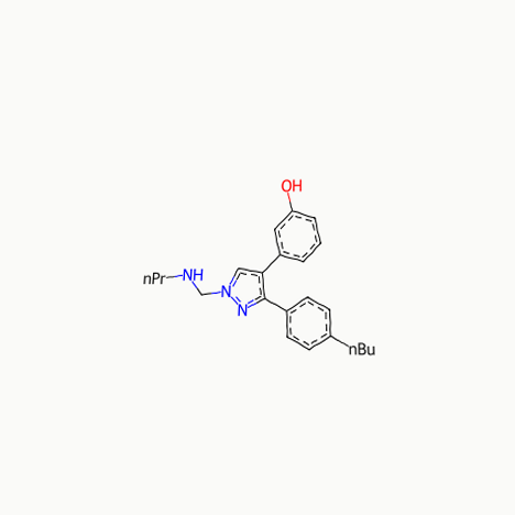 CCCCc1ccc(-c2nn(CNCCC)cc2-c2cccc(O)c2)cc1